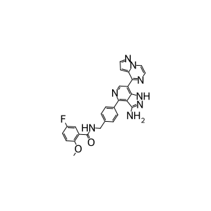 COc1ccc(F)cc1C(=O)NCc1ccc(-c2ncc(-c3nccn4nccc34)c3[nH]nc(N)c23)cc1